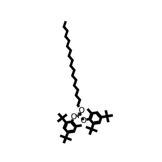 CCCCCCCCCCCCCCCCCCOP(Oc1c(C)cc(C(C)(C)C)cc1C(C)(C)C)Oc1c(C)cc(C(C)(C)C)cc1C(C)(C)C